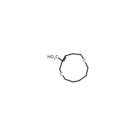 O=C(O)C1=CCCCCCCCCCC1